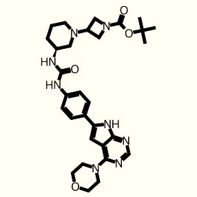 CC(C)(C)OC(=O)N1CC(N2CCC[C@H](NC(=O)Nc3ccc(-c4cc5c(N6CCOCC6)ncnc5[nH]4)cc3)C2)C1